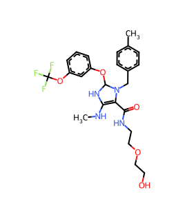 CNC1=C(C(=O)NCCOCCO)N(Cc2ccc(C)cc2)C(Oc2cccc(OC(F)(F)F)c2)N1